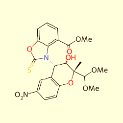 COC(=O)c1cccc2oc(=S)n([C@H]3c4cc([N+](=O)[O-])ccc4O[C@@](C)(C(OC)OC)[C@@H]3O)c12